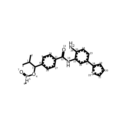 CC(C)C(O[PH](C)=O)c1ccc(C(=O)Nc2cc(-c3cccs3)ccc2N)cc1